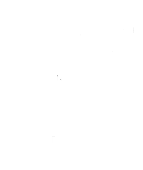 COC(=O)c1ccc(F)c(C2CC2)n1